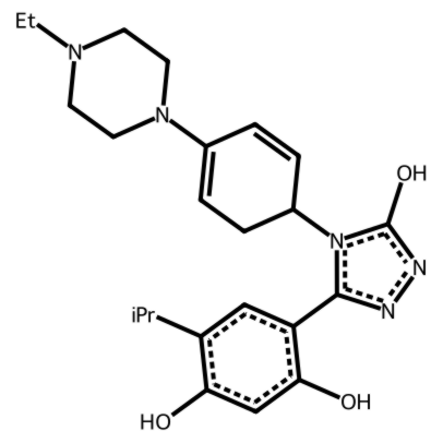 CCN1CCN(C2=CCC(n3c(O)nnc3-c3cc(C(C)C)c(O)cc3O)C=C2)CC1